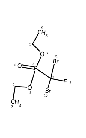 CCOP(=O)(OCC)C(F)(Br)Br